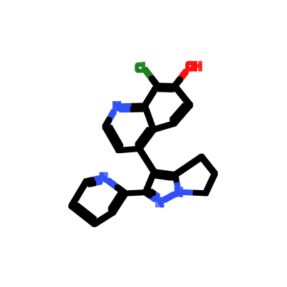 Oc1ccc2c(-c3c(-c4ccccn4)nn4c3CCC4)ccnc2c1Cl